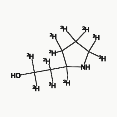 [2H]C([2H])(O)C([2H])([2H])C1([2H])NC([2H])([2H])C([2H])([2H])C1([2H])[2H]